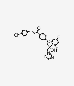 O=C(C=Cc1ccc(Cl)cc1)c1ccc(OCC(O)(Cn2cncn2)c2ccc(F)cc2F)cc1